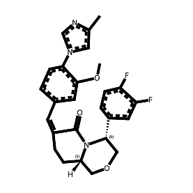 COc1cc(C=C2CC[C@H]3COC[C@@H](c4ccc(F)c(F)c4)N3C2=O)ccc1-n1cnc(C)c1